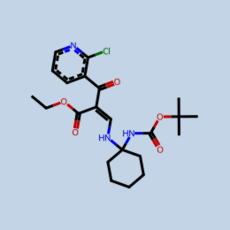 CCOC(=O)C(=CNC1(NC(=O)OC(C)(C)C)CCCCC1)C(=O)c1cccnc1Cl